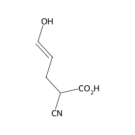 N#CC(CC=CO)C(=O)O